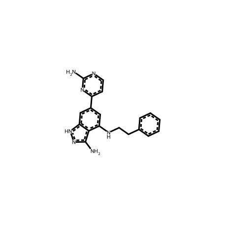 Nc1nccc(-c2cc(NCCc3ccccc3)c3c(N)n[nH]c3c2)n1